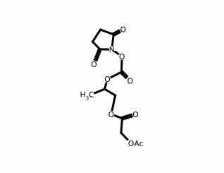 CC(=O)OCC(=O)OCC(C)OC(=O)ON1C(=O)CCC1=O